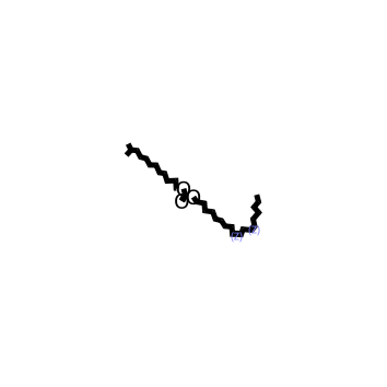 CCCCC/C=C\C/C=C\CCCCCCCCOC(=O)OCCCCCCCCCCC(C)C